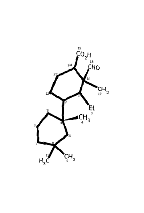 CCC1C([C@@]2(C)CCCC(C)(C)C2)CCC(C(=O)O)C1(C)C=O